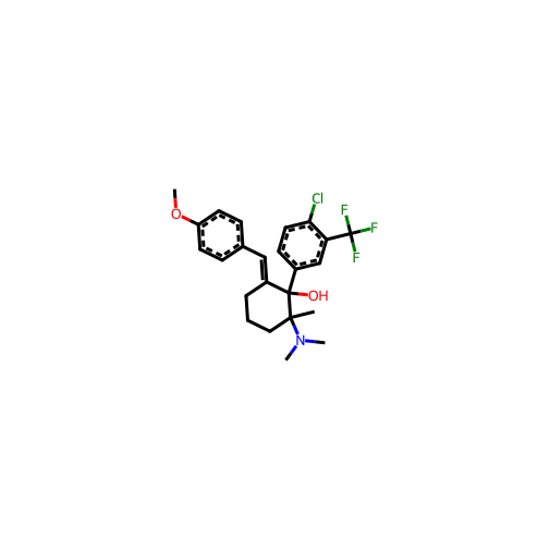 COc1ccc(C=C2CCCC(C)(N(C)C)C2(O)c2ccc(Cl)c(C(F)(F)F)c2)cc1